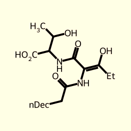 CCCCCCCCCCCC(=O)N/C(C(=O)NC(C(=O)O)C(C)O)=C(/O)CC